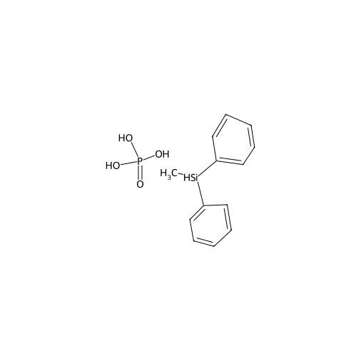 C[SiH](c1ccccc1)c1ccccc1.O=P(O)(O)O